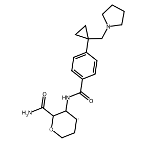 NC(=O)C1OCC[C]C1NC(=O)c1ccc(C2(CN3CCCC3)CC2)cc1